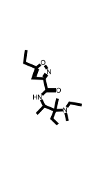 CCc1cc(C(=O)NC(C)C(C)(CC)N(C)CC)no1